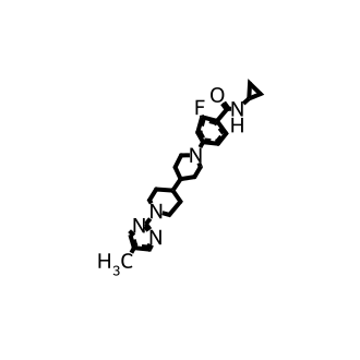 Cc1cnc(N2CCC(C3CCN(c4ccc(C(=O)NC5CC5)c(F)c4)CC3)CC2)nc1